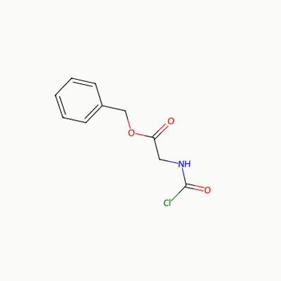 O=C(Cl)NCC(=O)OCc1ccccc1